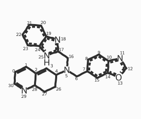 C1=CC2=CC(N(Cc3ccc4ncoc4c3)Cc3nc4ccccc4[nH]3)CCC2N=C1